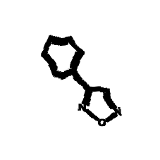 c1ccc(-c2cnon2)cc1